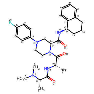 CC(C)[C@H](NC(=O)[C@H](C)N(C)C(=O)O)C(=O)N1CCN(c2ccc(F)cc2)C[C@H]1C(=O)N[C@@H]1CCCc2ccccc21